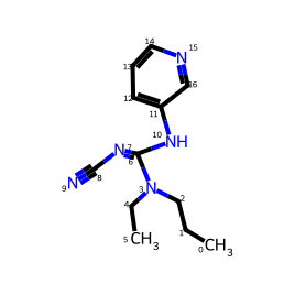 CCCN(CC)C(=NC#N)Nc1cccnc1